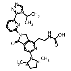 CC(C)n1cnnc1-c1cccc(N2Cc3c(cc(N4[C@H](C)CC[C@H]4C)nc3CCNC(=O)O)C2=O)n1